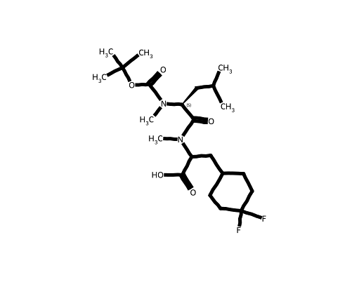 CC(C)C[C@@H](C(=O)N(C)C(CC1CCC(F)(F)CC1)C(=O)O)N(C)C(=O)OC(C)(C)C